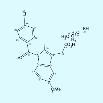 COc1ccc2c(c1)c(CC(=O)O)c(C)n2C(=O)c1ccc(Cl)cc1.O.O.O.[KH]